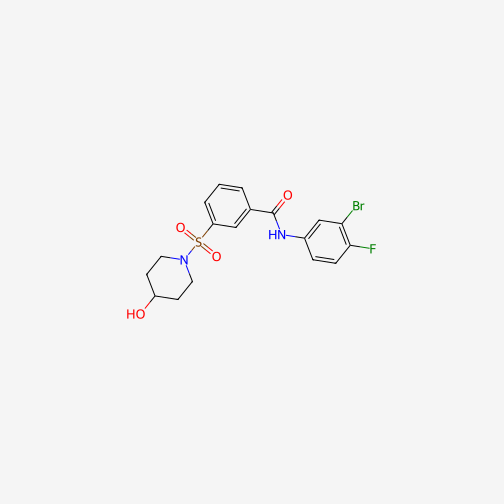 O=C(Nc1ccc(F)c(Br)c1)c1cccc(S(=O)(=O)N2CCC(O)CC2)c1